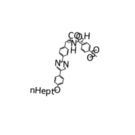 CCCCCCCOc1ccc(-c2cnc(-c3ccc(C[C@H](NC(=O)c4ccc(S(C)(=O)=O)cc4)C(=O)O)cc3)nc2)cc1